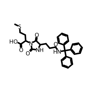 CSCCC(C(=O)O)N1C(=O)NC(CCC(=O)NC(c2ccccc2)(c2ccccc2)c2ccccc2)C1=O